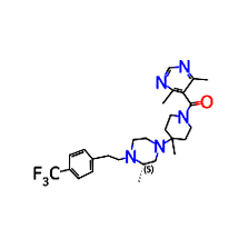 Cc1ncnc(C)c1C(=O)N1CCC(C)(N2CCN(CCc3ccc(C(F)(F)F)cc3)[C@@H](C)C2)CC1